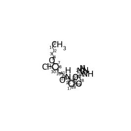 CCCCCOc1ccc(C=CC(=O)Nc2cccc3c2OC(c2nnn[nH]2)CO3)cc1Cl